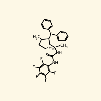 CC1CC[C@@H]([C@@H](C)NC(=S)Nc2c(F)c(F)c(F)c(F)c2F)C1P(c1ccccc1)c1ccccc1